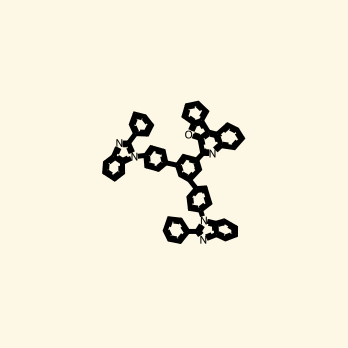 c1ccc(-c2nc3ccccc3n2-c2ccc(-c3cc(-c4ccc(-n5c(-c6ccccc6)nc6ccccc65)cc4)cc(-c4nc5ccccc5c5c4oc4ccccc45)c3)cc2)cc1